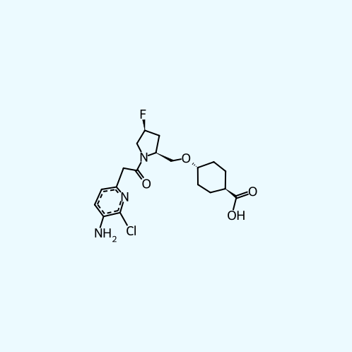 Nc1ccc(CC(=O)N2C[C@@H](F)C[C@H]2CO[C@H]2CC[C@H](C(=O)O)CC2)nc1Cl